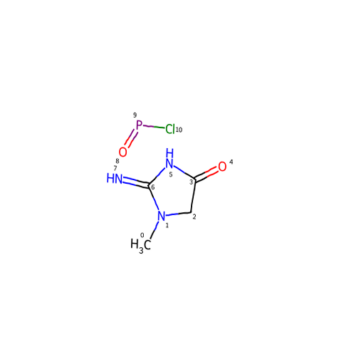 CN1CC(=O)NC1=N.O=PCl